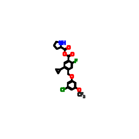 O=C(OC(=O)C1CCCN1)c1cc(C2CC2)c(COc2cc(Cl)cc(OC(F)(F)F)c2)cc1F